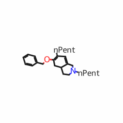 CCCCCC1=C(OCc2ccccc2)CC2CCN(CCCCC)CC2=C1